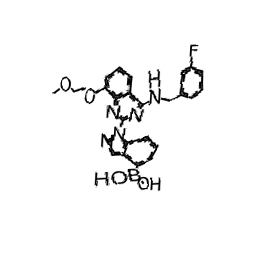 COCCOc1cccc2c(NCc3cccc(F)c3)nc(-n3ncc4c(B(O)O)cccc43)nc12